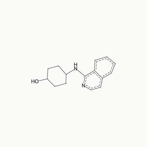 OC1CCC(Nc2nccc3ccccc23)CC1